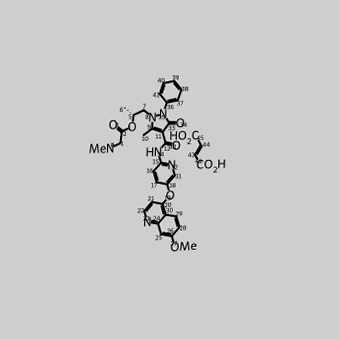 CNCC(=O)O[C@H](C)Cn1c(C)c(C(=O)Nc2ccc(Oc3ccnc4cc(OC)ccc34)cn2)c(=O)n1-c1ccccc1.O=C(O)C=CC(=O)O